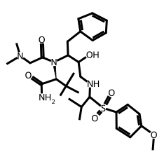 COc1ccc(S(=O)(=O)C(NCC(O)C(Cc2ccccc2)N(C(=O)CN(C)C)[C@H](C(N)=O)C(C)(C)C)C(C)C)cc1